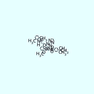 COc1ccccc1Oc1c(NS(=O)(=O)c2ccc(C(C)(C)C)cc2)nc(-c2ncccn2)nc1OCCC(=O)Nc1c(C)cccc1C